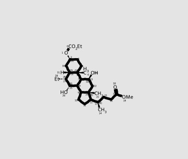 CCOC(=O)O[C@@H]1CC[C@]2(C)C3C(C4CCC([C@H](C)CCC(=O)OC)[C@@]4(C)C[C@@H]3O)[C@H](O)[C@H](CC)[C@@H]2C1